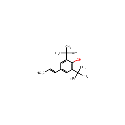 CCCC(C)(C)c1cc(C=CC(=O)O)cc(C(C)(C)CCC)c1O